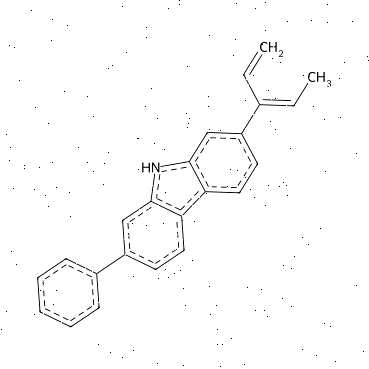 C=C/C(=C\C)c1ccc2c(c1)[nH]c1cc(-c3ccccc3)ccc12